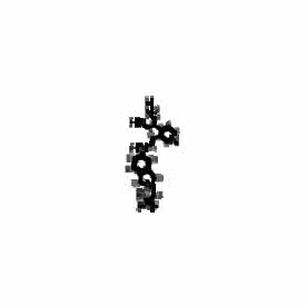 N=C/C(=C\N)c1ccncc1/C=C/Nc1ccc2c(c1)CN(CC(F)(F)F)C2